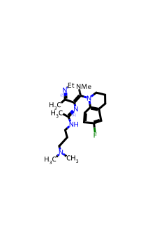 CC/N=C(/C)C(/N=C(\C)NCCCN(C)C)=C(NC)N1CCCc2cc(F)ccc21